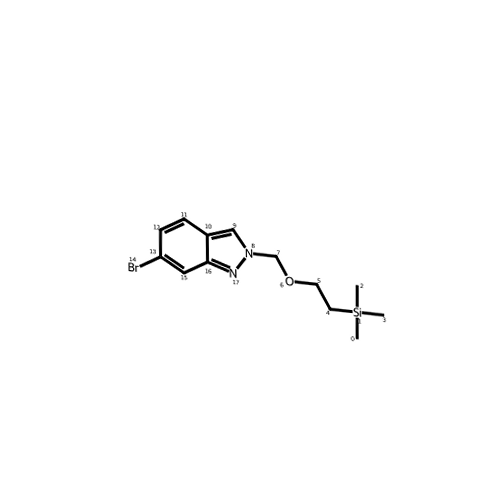 C[Si](C)(C)CCOCn1cc2ccc(Br)cc2n1